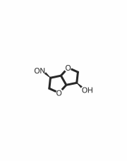 O=N[C@@H]1COC2C1OC[C@H]2O